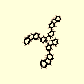 c1ccc2c(c1)Cc1ccc(-c3ccc4c(c3)-c3ccccc3B3c5ccc(-c6ccc7sc8ccccc8c7c6)cc5-c5cc(-c6ccc7oc8ccccc8c7c6)ccc5N34)cc1-2